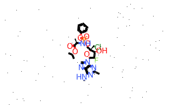 CNc1nc(C)nc2c1ncn2[C@@H]1O[C@](CCl)(CO[P@@](=O)(N[C@H](C)C(=O)OC(C)C)Oc2ccccc2)[C@@H](O)[C@@H]1F